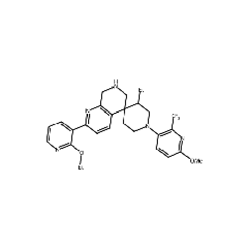 CCOc1ncccc1-c1ccc2c(n1)CNCC21CCN(c2ccc(OC)nc2C(F)(F)F)CC1CC